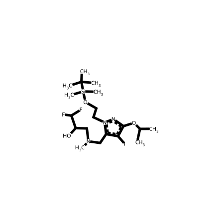 CC(C)Oc1nn(CCO[Si](C)(C)C(C)(C)C)c(CN(C)CC(O)C(F)F)c1I